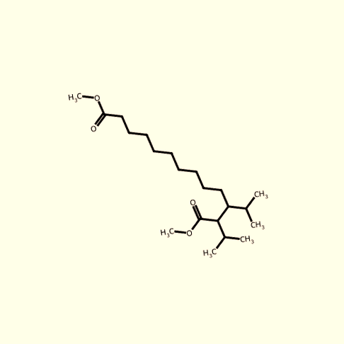 COC(=O)CCCCCCCCCC(C(C)C)C(C(=O)OC)C(C)C